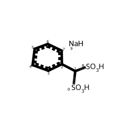 O=S(=O)(O)C(c1ccccc1)S(=O)(=O)O.[NaH]